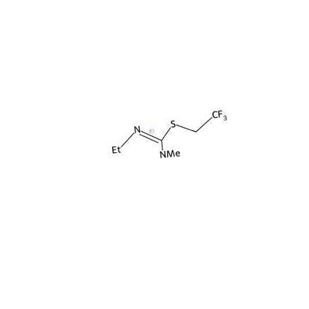 CC/N=C(\NC)SCC(F)(F)F